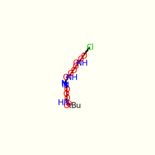 CC(C)(C)OC(=O)NCCOCCOCCOCCn1cc(CCC(=O)NCCOCCOCCOCC(=O)NCCOCCOCCCCCCCl)nn1